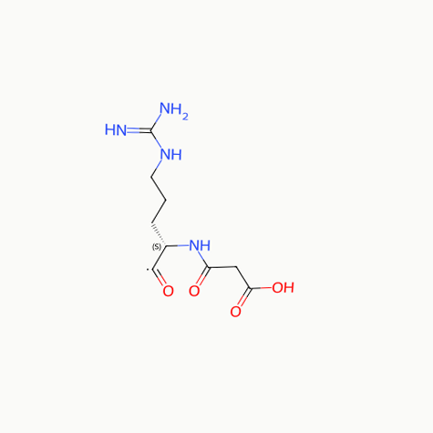 N=C(N)NCCC[C@@H]([C]=O)NC(=O)CC(=O)O